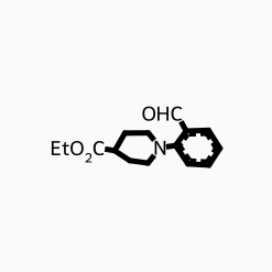 CCOC(=O)C1CCN(c2ccccc2C=O)CC1